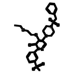 CCOCCOc1c(N2CCN(S(=O)(=O)Cc3ccccc3)CC2)cnn(-c2cccc(S(C)(=O)=O)c2)c1=O